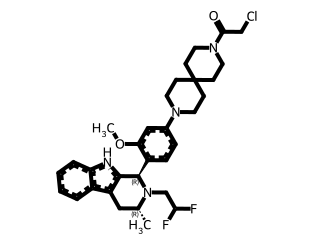 COc1cc(N2CCC3(CCN(C(=O)CCl)CC3)CC2)ccc1[C@@H]1c2[nH]c3ccccc3c2C[C@@H](C)N1CC(F)F